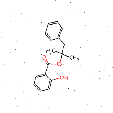 CC(C)(Cc1ccccc1)OC(=O)c1ccccc1O